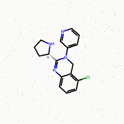 Clc1cccc2c1CN(c1cccnc1)C([C@@H]1CCCN1)=N2